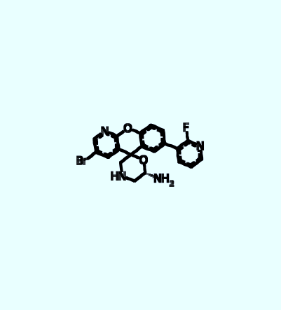 N[C@@H]1CNCC2(O1)c1cc(-c3cccnc3F)ccc1Oc1ncc(Br)cc12